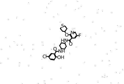 O=C(NC1CCC(NC(=O)c2cc(F)cnc2OC2CCSCC2)CC1)c1cc(Cl)ccc1O